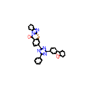 O=c1c2ccc(-c3nc(-c4ccccc4)nc(-c4ccc5c(c4)oc4ccccc45)n3)cc2sc2nc3ccccc3n12